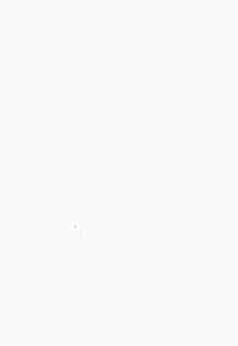 CC(CCc1ccccc1)CC(=O)Nc1cccc2ccccc12